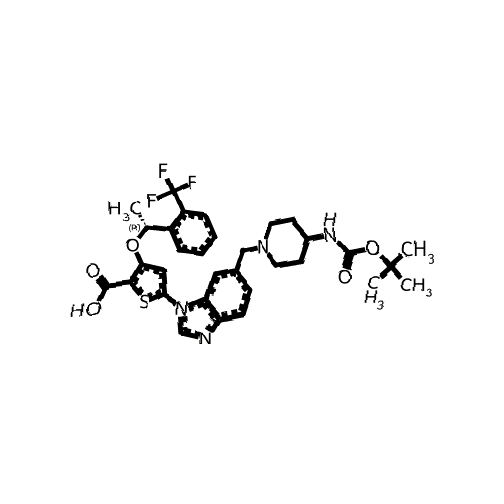 C[C@@H](Oc1cc(-n2cnc3ccc(CN4CCC(NC(=O)OC(C)(C)C)CC4)cc32)sc1C(=O)O)c1ccccc1C(F)(F)F